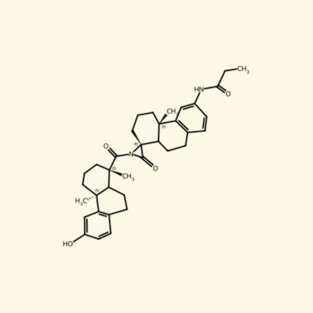 CCC(=O)Nc1ccc2c(c1)[C@@]1(C)CCC[C@]3(C(=O)N3C(=O)[C@@]3(C)CCC[C@]4(C)c5cc(O)ccc5CCC34)C1CC2